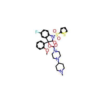 COc1ccccc1C1(OC(=O)N2CCN(C3CCN(C)CC3)CC2)C(=O)N(S(=O)(=O)c2cccs2)c2ccc(F)cc21